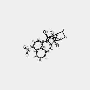 O=C1[C@@H]2C3CCC([C@@H]2C(=O)N1c1ccc([N+](=O)[O-])c2ccccc12)C3(O)O